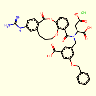 Cl.N=C(N)Nc1ccc2c(c1)CCCOc1c(cccc1C(=O)N(Cc1cc(OCc3ccccc3)cc(C(=O)O)c1)[C@@H](CC(=O)O)C(=O)O)OC2=O